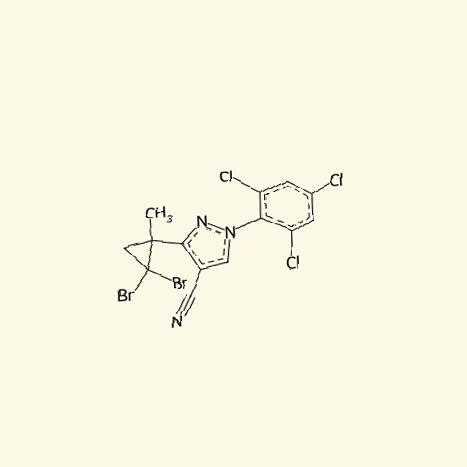 CC1(c2nn(-c3c(Cl)cc(Cl)cc3Cl)cc2C#N)CC1(Br)Br